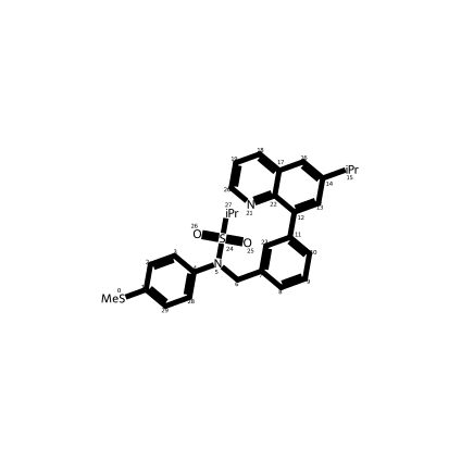 CSc1ccc(N(Cc2cccc(-c3cc(C(C)C)cc4cccnc34)c2)S(=O)(=O)C(C)C)cc1